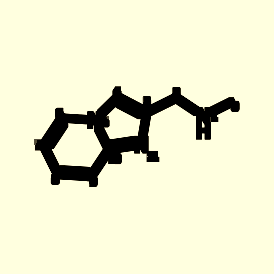 CNCc1cn2ccccc2n1